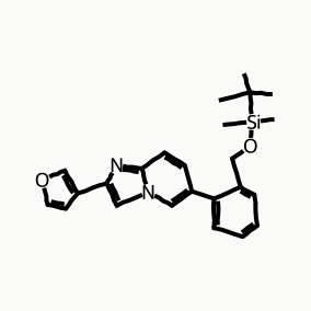 CC(C)(C)[Si](C)(C)OCc1ccccc1-c1ccc2nc(-c3ccoc3)cn2c1